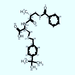 C[C@H](CSC(=O)c1ccccc1)C(=O)N[C@@H](CSCc1ccc(C(C)(C)C)cc1)C(=O)O